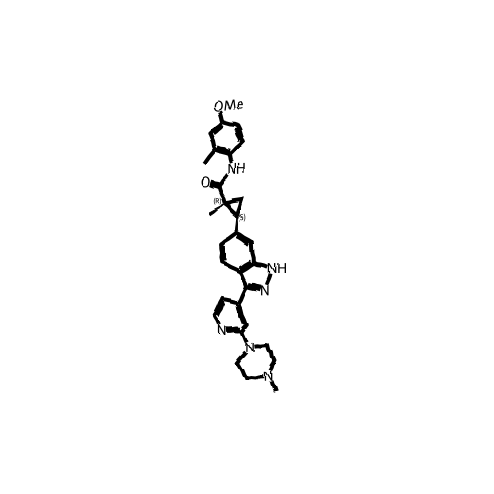 COc1ccc(NC(=O)[C@]2(C)C[C@H]2c2ccc3c(-c4ccnc(N5CCN(C)CC5)c4)n[nH]c3c2)c(C)c1